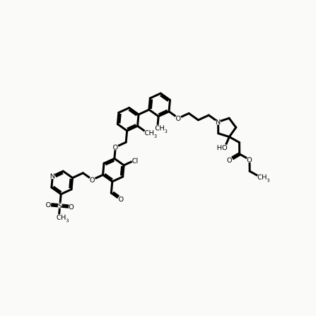 CCOC(=O)CC1(O)CCN(CCCOc2cccc(-c3cccc(COc4cc(OCc5cncc(S(C)(=O)=O)c5)c(C=O)cc4Cl)c3C)c2C)C1